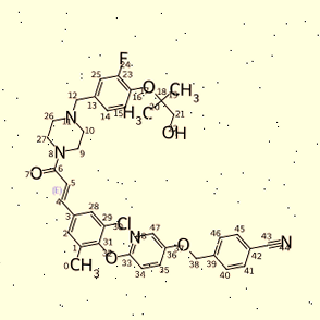 Cc1cc(/C=C/C(=O)N2CCN(Cc3ccc(OC(C)(C)CO)c(F)c3)CC2)cc(Cl)c1Oc1ccc(OCc2ccc(C#N)cc2)cn1